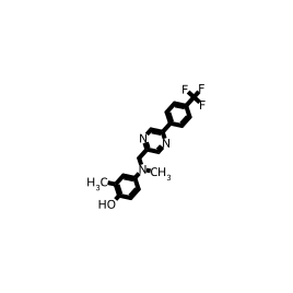 Cc1cc(N(C)Cc2cnc(-c3ccc(C(F)(F)F)cc3)cn2)ccc1O